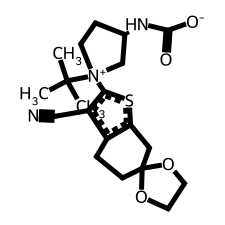 CC(C)(C)[N+]1(c2sc3c(c2C#N)CCC2(C3)OCCO2)CC[C@H](NC(=O)[O-])C1